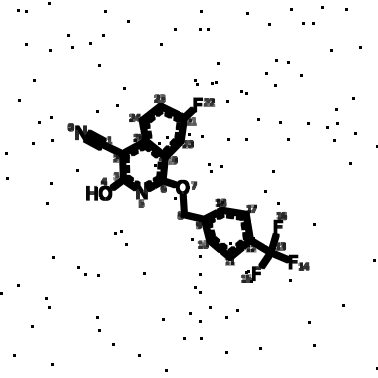 N#Cc1c(O)nc(OCc2ccc(C(F)(F)F)cc2)c2cc(F)ccc12